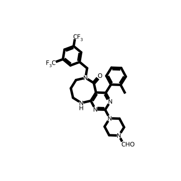 Cc1ccccc1-c1nc(N2CCN(C=O)CC2)nc2c1C(=O)N(Cc1cc(C(F)(F)F)cc(C(F)(F)F)c1)CCCN2